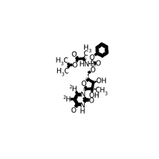 [2H]c1c([2H])n([C@@H]2O[C@H](CO[P@@](=O)(N[C@@H](C)C(=O)OC(C)C)Oc3ccccc3)[C@@H](O)[C@@]2(C)O)c(=O)[nH]c1=O